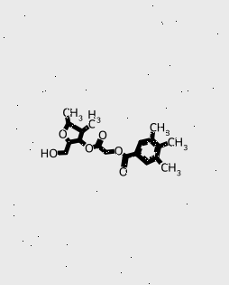 Cc1cc(C(=O)OCC(=O)OC2C(CO)OC(C)C2C)cc(C)c1C